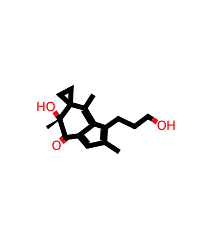 CC1=C(CCCO)C2=C(C)C3(CC3)[C@@](C)(O)C(=O)C2=C1